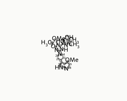 COC[C@@H](C)Oc1nc(C(=O)N[C@H](C)C(C)(C)O)nc(N2CCC(c3c[nH]c4nccc(OC)c34)CC2)n1